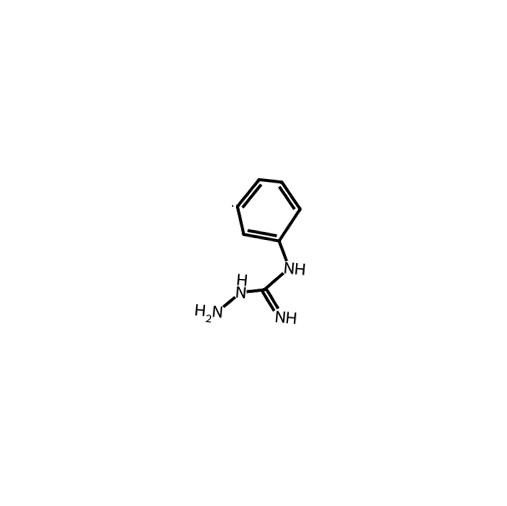 N=C(NN)Nc1c[c]ccc1